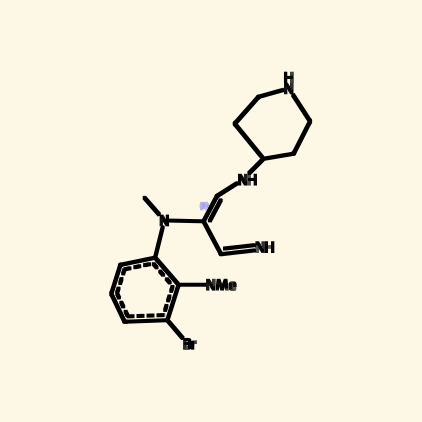 CNc1c(Br)cccc1N(C)/C(C=N)=C/NC1CCNCC1